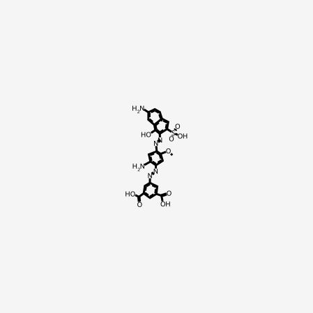 COc1cc(N=Nc2cc(C(=O)O)cc(C(=O)O)c2)c(N)cc1N=Nc1c(S(=O)(=O)O)cc2ccc(N)cc2c1O